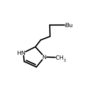 CCC(C)CCCC1NC=CN1C